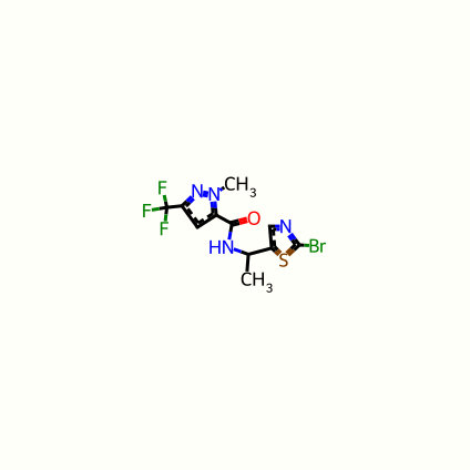 CC(NC(=O)c1cc(C(F)(F)F)nn1C)c1cnc(Br)s1